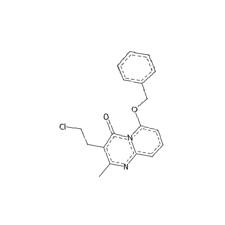 Cc1nc2cccc(OCc3ccccc3)n2c(=O)c1CCCl